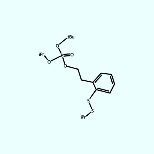 CC(C)OP(=O)(OCCc1ccccc1SSC(C)C)OC(C)(C)C